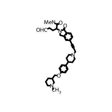 CNC(=O)C(CCC=O)N1Cc2cc(C#CCN3CCC(c4ccc(OCC5CCCN(C)C5)cc4)CC3)ccc2C1=O